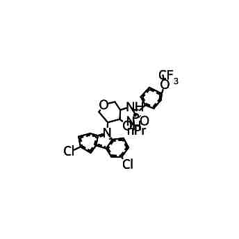 CCCN=S(=O)(NC1COCC(n2c3ccc(Cl)cc3c3cc(Cl)ccc32)C1O)c1ccc(OC(F)(F)F)cc1